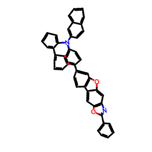 c1ccc(-c2nc3cc4oc5cc(-c6ccc(N(c7ccc8ccccc8c7)c7ccccc7-c7ccccc7)cc6)ccc5c4cc3o2)cc1